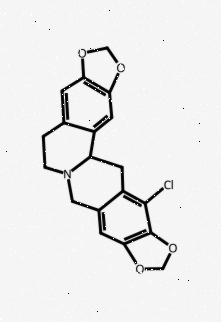 Clc1c2c(cc3c1OCO3)CN1CCc3cc4c(cc3C1C2)OCO4